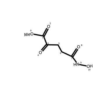 COC(=O)C(=O)CCC(=O)NO